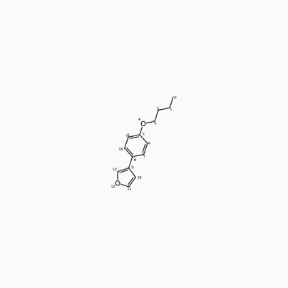 CCCCOc1ccc(-c2ccoc2)cc1